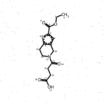 CCOC(=O)c1cc2c(s1)CCN(C(=O)CCC(=O)O)C2